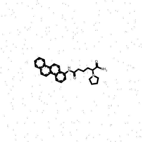 NC(=O)C(CCCC(=O)Nc1cccc2c1ccc1c3ccccc3ccc21)N1CCCC1